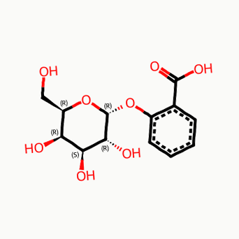 O=C(O)c1ccccc1O[C@H]1O[C@H](CO)[C@H](O)[C@H](O)[C@H]1O